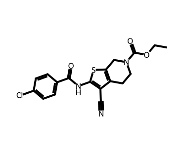 CCOC(=O)N1CCc2c(sc(NC(=O)c3ccc(Cl)cc3)c2C#N)C1